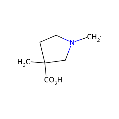 [CH2]N1CCC(C)(C(=O)O)C1